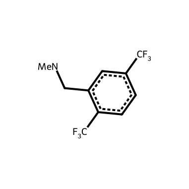 CNCc1cc(C(F)(F)F)ccc1C(F)(F)F